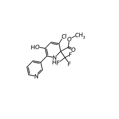 COC(=O)C1(C(F)(F)F)NC(c2cccnc2)=C(O)C=C1Cl